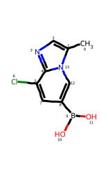 Cc1cnc2c(Cl)cc(B(O)O)cn12